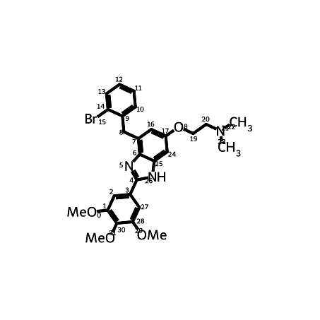 COc1cc(-c2nc3c(Cc4ccccc4Br)cc(OCCN(C)C)cc3[nH]2)cc(OC)c1OC